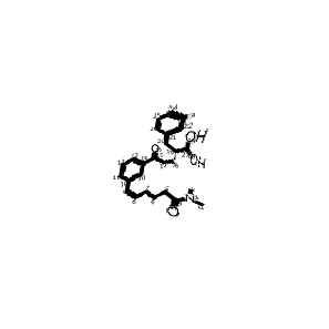 CN(C)C(=O)CCC/C=C\c1cccc(C(=O)CC[C@H](Cc2ccccc2)C(O)O)c1